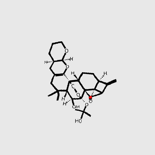 C=C1C2C(=O)[C@]34[C@H]2[C@H]1CC[C@H]3[C@@]12CO[C@]4(OC(C)(C)O)[C@@H](O)[C@@H]1C(C)(C)CC1=C2O[C@@H]2OCCC[C@@H]2C1